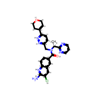 C[C@H](c1ncccn1)N(Cc1ccc(C2=CCOCC2)nn1)C(=O)c1ccc2nc(N)c(Cl)cc2c1